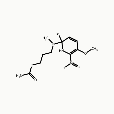 COC1=C([N+](=O)[O-])NC(Br)(N(C)CCCOC(N)=O)C=C1